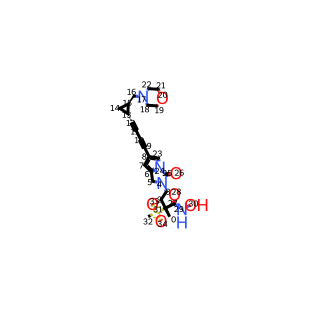 CC(CCN1Cc2cc(C#CC#C[C@@H]3C[C@H]3CN3CCOCC3)cn2C1=O)(C(=O)NO)S(C)(=O)=O